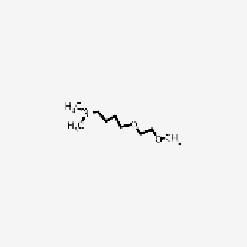 COCCOCCCC[N+](C)C